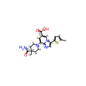 Cc1ccc(-c2cnc3c(N4CCC(C)(C(N)=O)CC4)cc(C(=O)O)cn23)s1